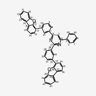 c1ccc(-c2cc(-c3cccc(-c4cccc5c4oc4ccccc45)c3)nc(-c3cccc(-c4cccc5c4oc4ccccc45)c3)n2)cc1